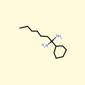 CCCCCCC(N)(N)C1CCCCC1